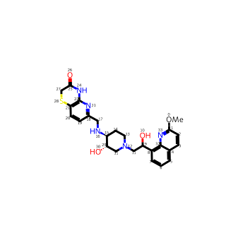 COc1ccc2cccc(C(O)CN3CC[C@H](NCc4ccc5c(n4)NC(=O)CS5)[C@@H](O)C3)c2n1